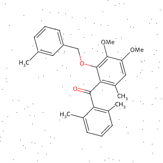 COc1cc(C)c(C(=O)c2c(C)cccc2C)c(OCc2cccc(C)c2)c1OC